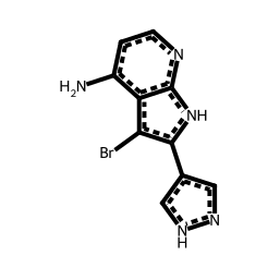 Nc1ccnc2[nH]c(-c3cn[nH]c3)c(Br)c12